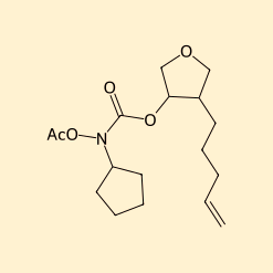 C=CCCCC1COCC1OC(=O)N(OC(C)=O)C1CCCC1